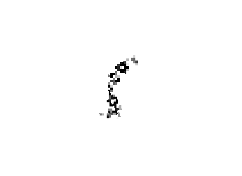 CC(C)(C)OC(=O)NC1CCN(CCCN2CCN(c3ccc(N)cc3F)CC2)CC1